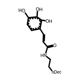 CCCCCCCCCCCCNC(=O)C=Cc1ccc(O)c(O)c1O